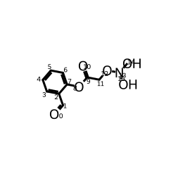 O=Cc1ccccc1OC(=O)CON(O)O